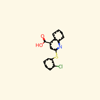 O=C(O)c1cc(Sc2ccccc2Cl)nc2ccccc12